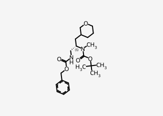 CN(C(=O)OC(C)(C)C)[C@H](CNC(=O)OCc1ccccc1)CC1CCCOC1